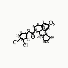 COc1ccc2c(c1)CCN(C(=O)Cc1ccc(Cl)c(Cl)c1)C2CN1CCCC1